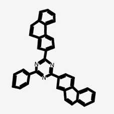 c1ccc(-c2nc(-c3ccc4c(ccc5ccccc54)c3)nc(-c3ccc4c(ccc5ccccc54)c3)n2)cc1